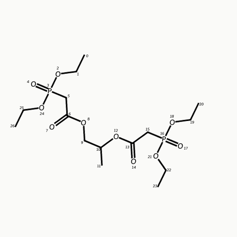 CCOP(=O)(CC(=O)OCC(C)OC(=O)CP(=O)(OCC)OCC)OCC